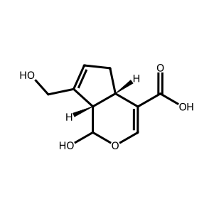 O=C(O)C1=COC(O)[C@@H]2C(CO)=CC[C@H]12